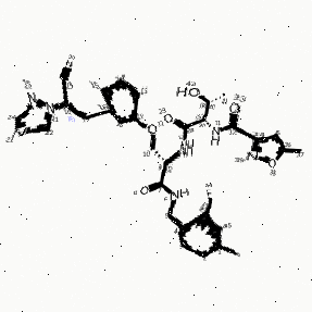 Cc1ccc(CNC(=O)[C@H](COc2cccc(/C=C(\C#N)n3cncn3)c2)NC(=O)[C@@H](NC(=O)c2cc(C)on2)[C@@H](C)O)c(F)c1